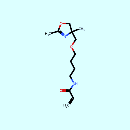 C=CC(=O)NCCCCOCC1(C)COC(C)=N1